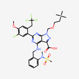 COc1cc(CC(F)(F)F)c(-c2nc(NCc3ccccc3N(C)S(C)(=O)=O)c3c(C(=O)O)nn(COCC[Si](C)(C)C)c3n2)cc1F